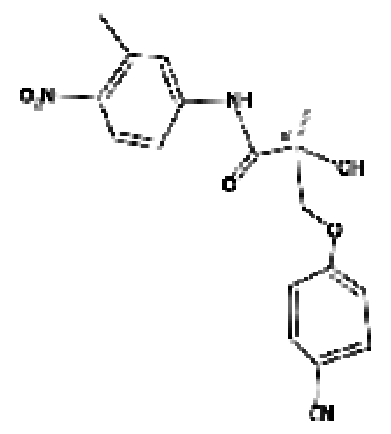 Cc1cc(NC(=O)[C@@](C)(O)COc2ccc(C#N)cc2)ccc1[N+](=O)[O-]